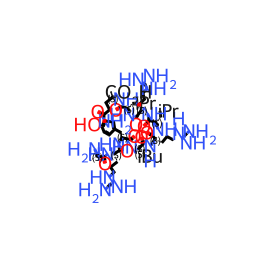 CC[C@H](C)[C@H](NC(=O)[C@H](Cc1ccc(O)cc1)NC(=O)[C@H](CCCNC(=N)N)NC(=O)[C@H](C)N)C(=O)N[C@@H](CCCNC(=N)N)C(=O)N[C@@H](CC(C)C)C(=O)N[C@@H](CCCNC(=N)N)C(=O)N[C@@H](CC(C)C)C(=O)N[C@@H](CCC(N)=O)C(=O)O